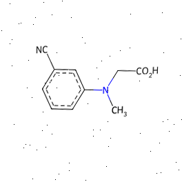 CN(CC(=O)O)c1cccc(C#N)c1